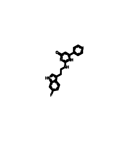 O=c1cc(-c2ccncc2)[nH]c(NCCc2c[nH]c3cc(F)ccc23)n1